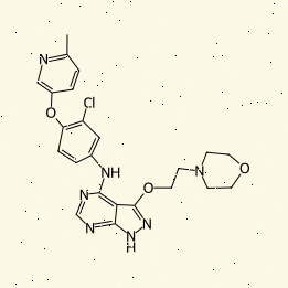 Cc1ccc(Oc2ccc(Nc3ncnc4[nH]nc(OCCN5CCOCC5)c34)cc2Cl)cn1